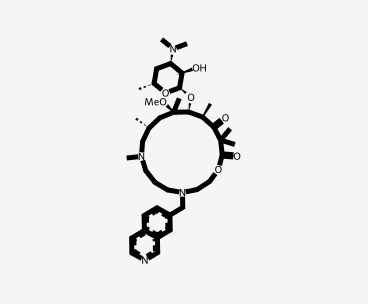 CO[C@]1(C)C[C@@H](C)CN(C)CCCN(Cc2ccc3ccncc3c2)CCOC(=O)C(C)(C)C(=O)[C@H](C)[C@H]1O[C@@H]1O[C@H](C)C[C@H](N(C)C)[C@H]1O